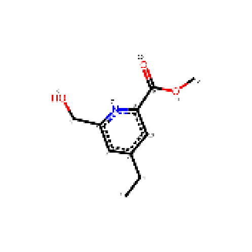 CCc1cc(CO)nc(C(=O)OC)c1